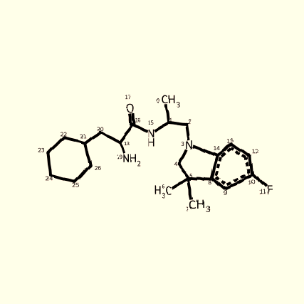 CC(CN1CC(C)(C)c2cc(F)ccc21)NC(=O)C(N)CC1CCCCC1